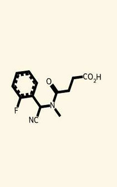 CN(C(=O)CCC(=O)O)C(C#N)c1ccccc1F